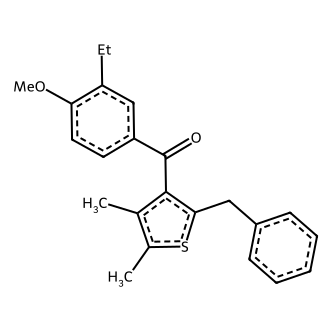 CCc1cc(C(=O)c2c(Cc3ccccc3)sc(C)c2C)ccc1OC